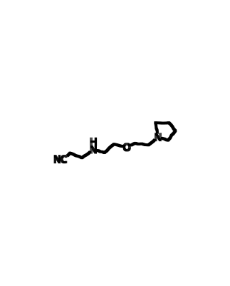 N#CCCNCCOCCN1CCCC1